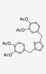 CC(=O)Oc1ccc(Cc2ccc(Cc3ccc(OC(C)=O)c(OC(C)=O)c3)s2)cc1OC(C)=O